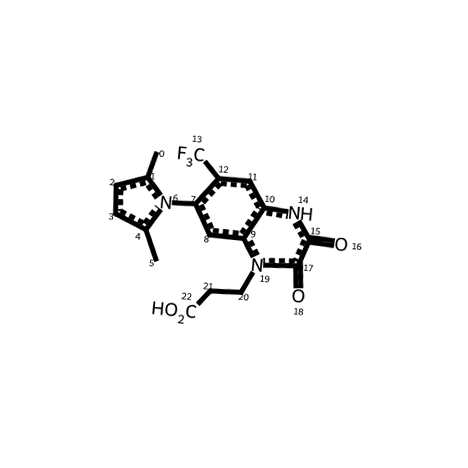 Cc1ccc(C)n1-c1cc2c(cc1C(F)(F)F)[nH]c(=O)c(=O)n2CCC(=O)O